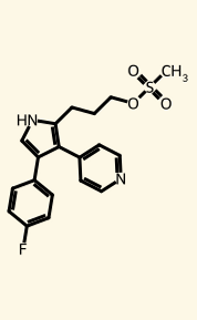 CS(=O)(=O)OCCCc1[nH]cc(-c2ccc(F)cc2)c1-c1ccncc1